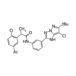 CC(=O)c1ccc(Cl)c(C(C)C(=O)Nc2cccc(-c3nn4nc(C(C)(C)C)c(Cl)c4[nH]3)c2)c1